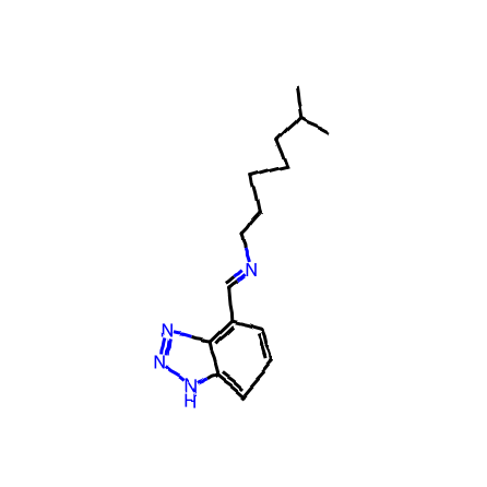 CC(C)CCCCCN=Cc1cccc2[nH]nnc12